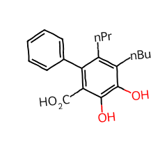 CCCCc1c(O)c(O)c(C(=O)O)c(-c2ccccc2)c1CCC